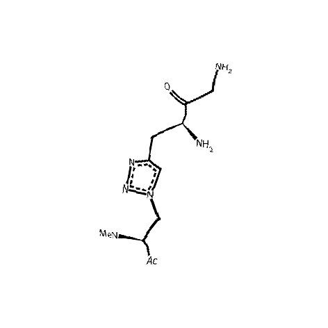 CN[C@@H](Cn1cc(C[C@H](N)C(=O)CN)nn1)C(C)=O